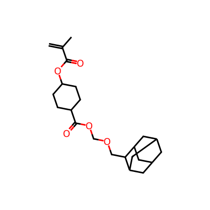 C=C(C)C(=O)OC1CCC(C(=O)OCOCC2C3CC4CC(C3)CC2C4)CC1